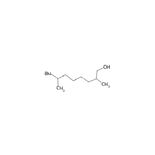 CCC(C)C(C)CCCCC(C)CO